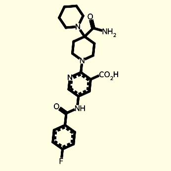 NC(=O)C1(N2CCCCC2)CCN(c2ncc(NC(=O)c3ccc(F)cc3)cc2C(=O)O)CC1